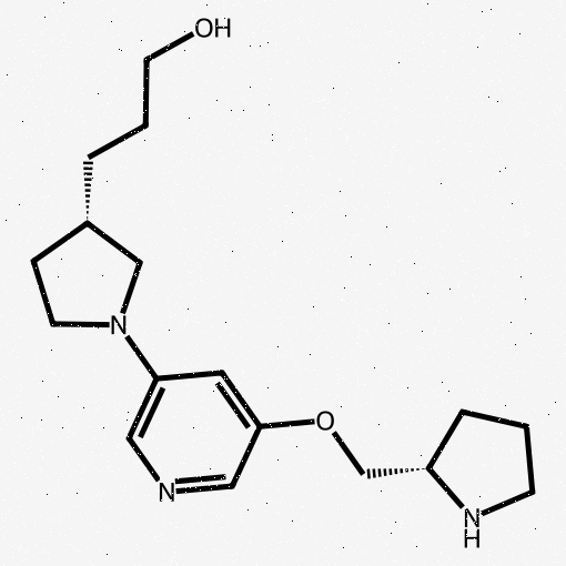 OCCC[C@H]1CCN(c2cncc(OC[C@@H]3CCCN3)c2)C1